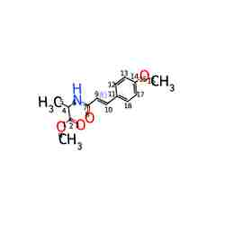 COC(=O)C(C)NC(=O)/C=C/c1ccc(OC)cc1